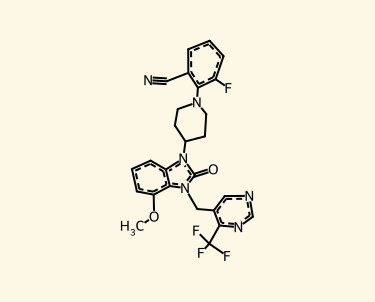 COc1cccc2c1n(Cc1cncnc1C(F)(F)F)c(=O)n2C1CCN(c2c(F)cccc2C#N)CC1